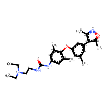 CCN(CC)CCNC(=O)Nc1cc(C)c(Oc2cc(C)cc(-c3c(C)noc3C)c2)c(C)c1